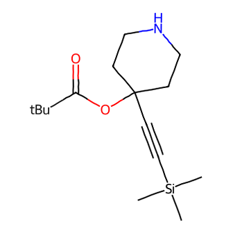 CC(C)(C)C(=O)OC1(C#C[Si](C)(C)C)CCNCC1